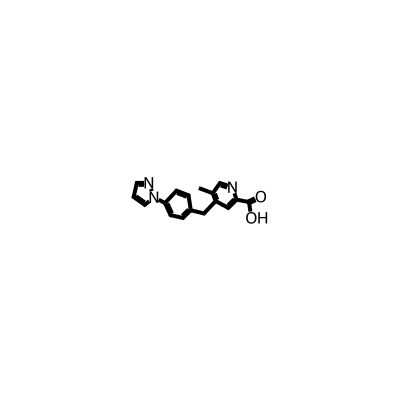 Cc1cnc(C(=O)O)cc1Cc1ccc(-n2cccn2)cc1